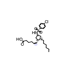 CCCCCCN1C[C@H](NS(=O)(=O)c2ccc(Cl)cc2)C[C@H]1/C=C\CCCC(=O)O